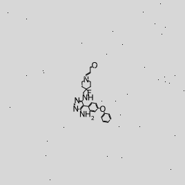 Nc1ncnc(NCC2(F)CCN(C=CC=O)CC2)c1-c1ccc(Oc2ccccc2)cc1